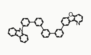 c1cc(-c2cccc(-c3cccc(-n4c5ccccc5c5ccccc54)c3)c2)cc(-c2cccc(-c3ccc4oc5cccnc5c4c3)c2)c1